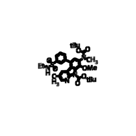 CCNS(=O)(=O)c1cccc(-c2cc(N(C)C(=O)OC(C)(C)C)c(OC)c3c2c2cc(C)cnc2n3C(=O)OC(C)(C)C)c1